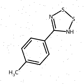 Cc1ccc(C2=NSSN2)cc1